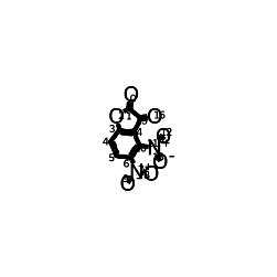 O=C1Oc2ccc([N+](=O)[O-])c([N+](=O)[O-])c2C1=O